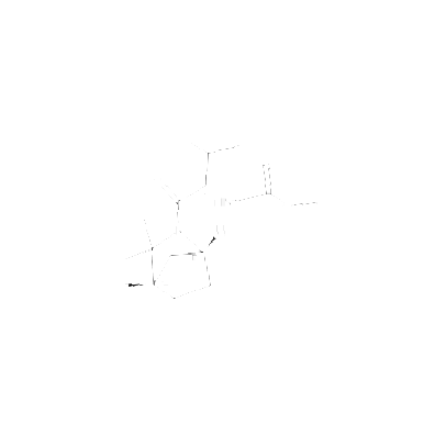 COC(=O)N[C@H](C(=O)N1[C@@H]2CC[C@@H](C2)C1(C)C)C(C)C